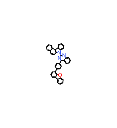 c1ccc2c(c1)ccc1c2c2ccccc2n1-c1nc(-c2ccc(-c3cccc4c3oc3ccccc34)cc2)c2ccccc2n1